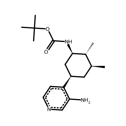 C[C@@H]1[C@@H](C)C[C@@H](c2ccncc2N)C[C@H]1NC(=O)OC(C)(C)C